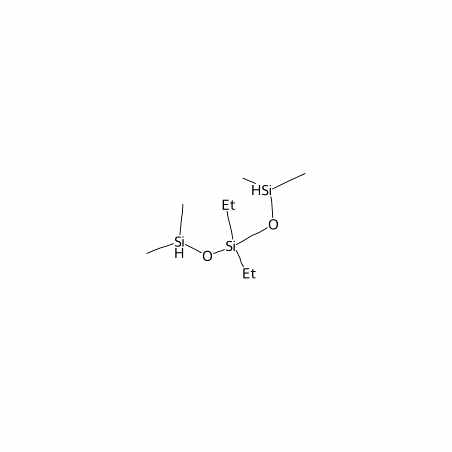 CC[Si](CC)(O[SiH](C)C)O[SiH](C)C